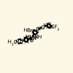 Br.CN1CCN(c2ccc(C(=O)Nc3n[nH]c4cc(OCCOCc5ccc(C(F)(F)F)cc5)ccc34)cc2)CC1